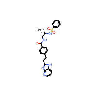 O=C(NCC(NS(=O)(=O)c1ccccc1)C(=O)O)c1ccc(CCc2nc3ncccc3[nH]2)cc1